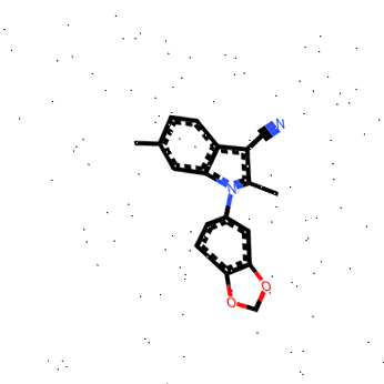 Cc1ccc2c(C#N)c(C)n(-c3ccc4c(c3)OCO4)c2c1